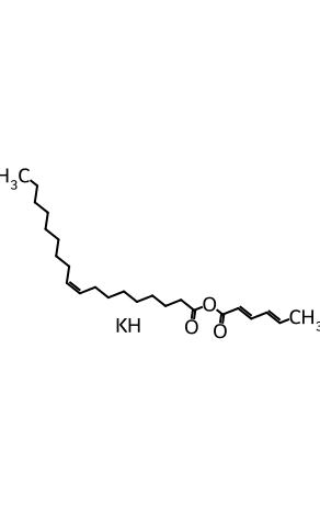 C/C=C/C=C/C(=O)OC(=O)CCCCCCC/C=C\CCCCCCCC.[KH]